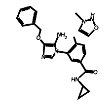 CN1C=CON1.Cc1ccc(C(=O)NC2CC2)cc1-n1cnc(OCc2ccccc2)c1N